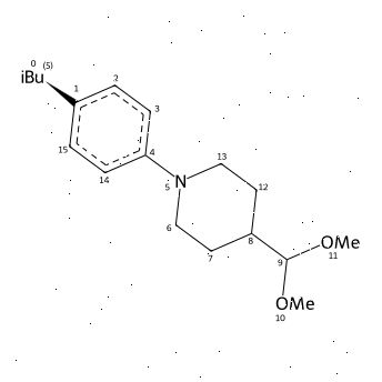 CC[C@H](C)c1ccc(N2CCC(C(OC)OC)CC2)cc1